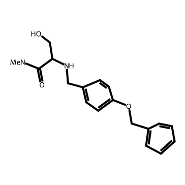 CNC(=O)C(CO)NCc1ccc(OCc2ccccc2)cc1